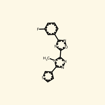 Cn1c(-c2ccsc2)nnc1-c1nc(-c2cccc(F)c2)no1